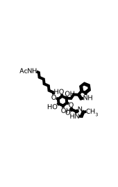 CC(=O)NCCCCCCCOC1C(O)C(O)C(OC(=O)c2nc(C)c[nH]2)C(O)(CCc2c[nH]c3ccccc23)C1O